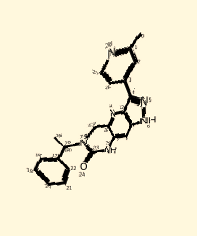 Cc1cc(-c2n[nH]c3cc4c(nc23)CN([C@H](C)c2ccccc2)C(=O)N4)ccn1